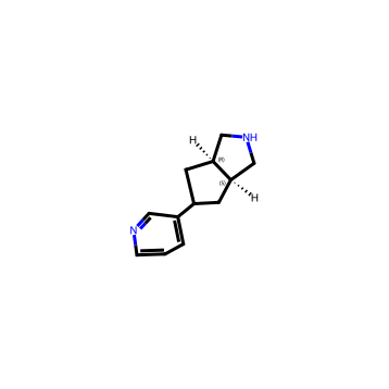 c1cncc(C2C[C@H]3CNC[C@H]3C2)c1